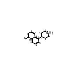 Cc1cccc2c(C3CCNCC3)cccc12